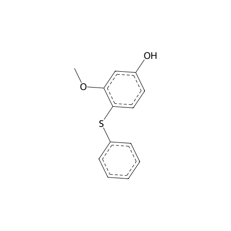 COc1cc(O)ccc1Sc1ccccc1